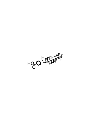 O=C(O)c1ccc(NCC(F)(F)C(F)(F)C(F)(F)C(F)(F)C(F)(F)C(F)(F)C(F)(F)F)cc1